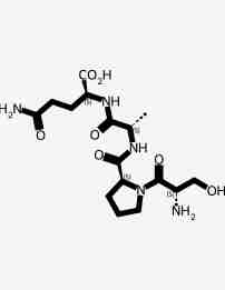 C[C@H](NC(=O)[C@@H]1CCCN1C(=O)[C@@H](N)CO)C(=O)N[C@@H](CCC(N)=O)C(=O)O